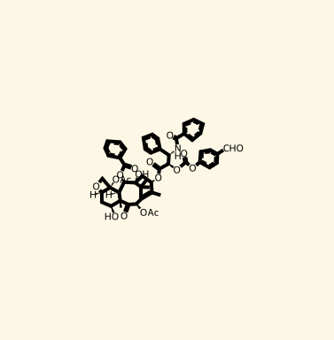 CC(=O)O[C@H]1C(=O)[C@@]2(C)[C@H]([C@H](OC(=O)c3ccccc3)[C@]3(O)C[C@H](OC(=O)[C@H](OC(=O)Oc4ccc(C=O)cc4)[C@@H](NC(=O)c4ccccc4)c4ccccc4)C(C)=C1C3(C)C)[C@]1(OC(C)=O)CO[C@@H]1C[C@@H]2O